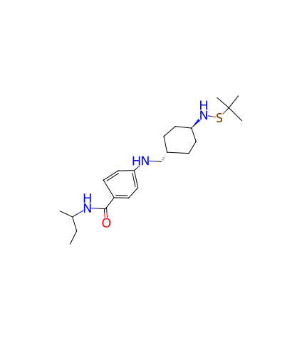 CCC(C)NC(=O)c1ccc(NC[C@H]2CC[C@H](NSC(C)(C)C)CC2)cc1